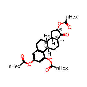 CCCCCCC(=O)Oc1cc2c(c(OC(=O)CCCCCC)c1)[C@H]1CC[C@]3(C)C(=O)[C@H](OC(=O)CCCCCC)C[C@H]3[C@H]1CC2